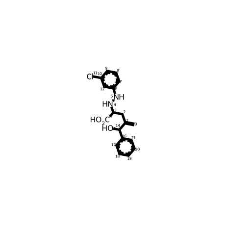 C=C(CC(NNc1cccc(Cl)c1)C(=O)O)C(O)c1ccccc1